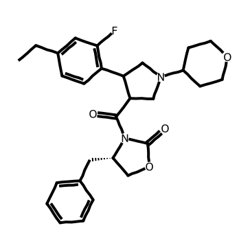 CCc1ccc(C2CN(C3CCOCC3)CC2C(=O)N2C(=O)OC[C@@H]2Cc2ccccc2)c(F)c1